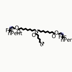 CCCCCC(F)(F)/C=C\COC(=O)CCCCCCCN(CCCCCCCC(=O)OC/C=C\C(F)(F)CCCCC)C(=O)CCCCN(C)C